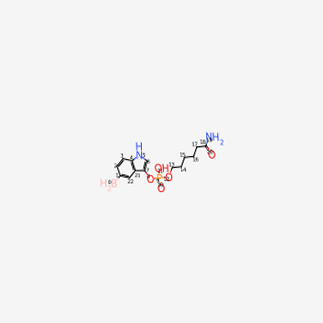 Bc1ccc2[nH]cc(OP(=O)(O)OCCCCCC(N)=O)c2c1